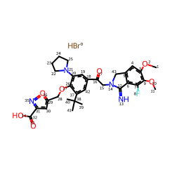 Br.COc1cc2c(c(F)c1OC)C(=N)N(CC(=O)c1cc(N3CCCC3)c(OCc3cc(C(=O)O)no3)c(C(C)(C)C)c1)C2